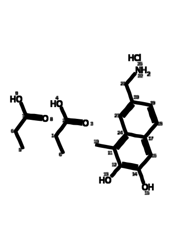 CCC(=O)O.CCC(=O)O.Cc1c(O)c(O)cc2ccc(CN)cc12.Cl